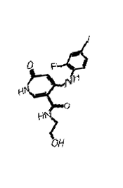 O=C(NCCO)c1c[nH]c(=O)cc1Nc1ccc(I)cc1F